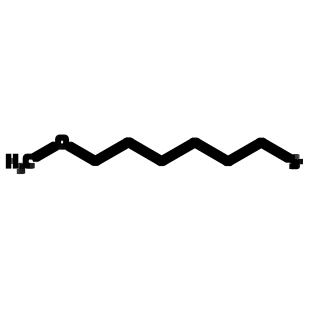 COCCCCCC[S]